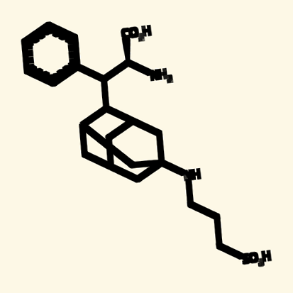 N[C@H](C(=O)O)C(c1ccccc1)C1C2CC3CC1CC(NCCCS(=O)(=O)O)(C3)C2